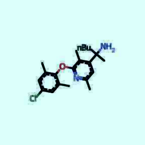 CCCCC(C)(N)c1cc(C)nc(Oc2c(C)cc(Cl)cc2C)c1C